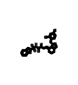 O=C(NC/C=C1\CCCc2cnn(Cc3ccc(Cl)cc3Cl)c21)NS(=O)(=O)c1cc2ccccc2s1